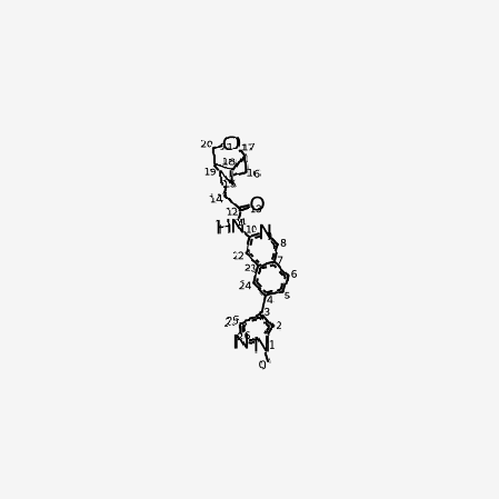 Cn1cc(-c2ccc3cnc(NC(=O)CN4CC5CC4CO5)cc3c2)cn1